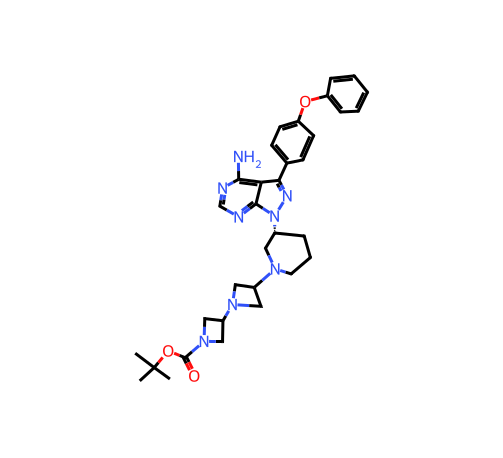 CC(C)(C)OC(=O)N1CC(N2CC(N3CCC[C@@H](n4nc(-c5ccc(Oc6ccccc6)cc5)c5c(N)ncnc54)C3)C2)C1